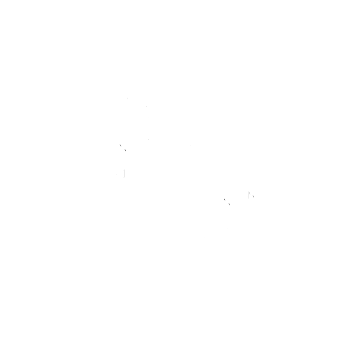 CCOC(=O)CC(Cc1ccccc1Cl)NC(=O)c1ccc(N2N=C(C)CC2=O)cc1